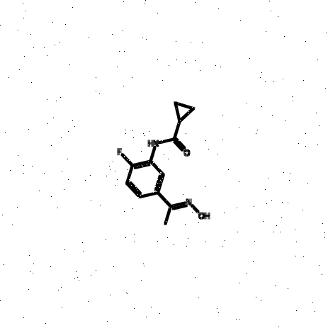 CC(=NO)c1ccc(F)c(NC(=O)C2CC2)c1